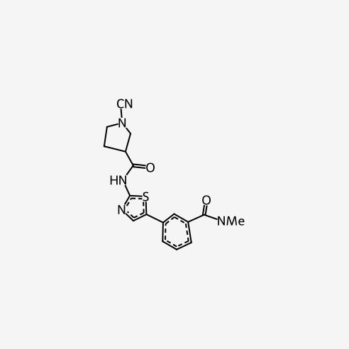 CNC(=O)c1cccc(-c2cnc(NC(=O)C3CCN(C#N)C3)s2)c1